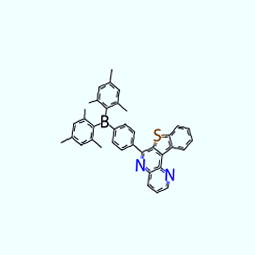 Cc1cc(C)c(B(c2ccc(-c3nc4cccnc4c4c3sc3ccccc34)cc2)c2c(C)cc(C)cc2C)c(C)c1